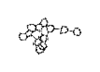 c1ccc(-c2ccc(-c3cccc(-c4nc5ccccc5nc4-n4c5ccccc5c5ccc6c7ccccc7n(-c7cnc8ccccc8n7)c6c54)c3)cc2)cc1